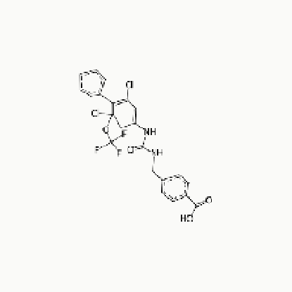 O=C(NCc1ccc(C(=O)O)cc1)NC1=CC(Cl)=C(c2ccccc2)C(Cl)(OC(F)(F)F)C1